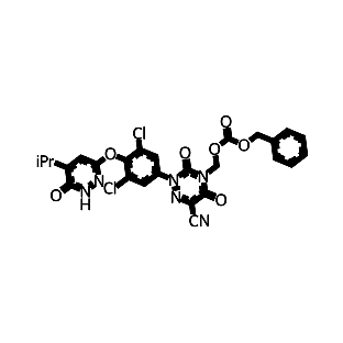 CC(C)c1cc(Oc2c(Cl)cc(-n3nc(C#N)c(=O)n(COC(=O)OCc4ccccc4)c3=O)cc2Cl)n[nH]c1=O